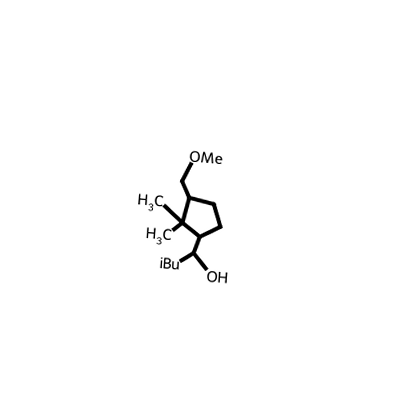 CCC(C)C(O)C1CCC(COC)C1(C)C